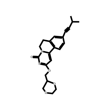 CC(C)C#Cc1ccc2c(c1)CCn1c-2cc(OCC2COCCO2)nc1=O